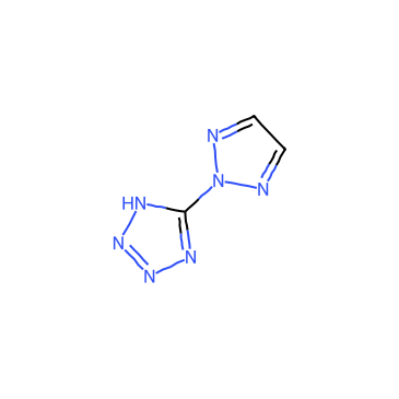 c1cnn(-c2nnn[nH]2)n1